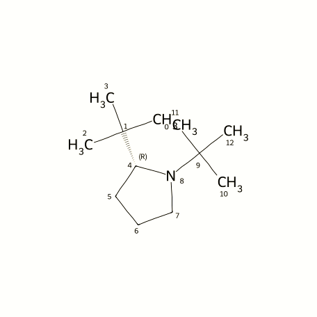 CC(C)(C)[C@H]1CCCN1C(C)(C)C